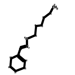 CCCCCCO/N=[C]/C1=CCCCC1